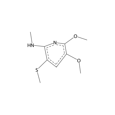 CNc1nc(OC)c(OC)cc1SC